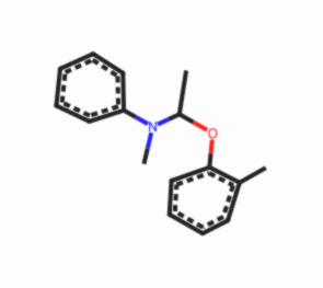 Cc1ccccc1OC(C)N(C)c1ccccc1